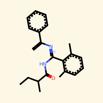 C=C(/N=C(\NC(=O)C(C)CC)c1c(C)cccc1C)c1ccccc1